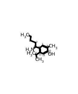 CCCCC(N)c1cc(C)c(O)cc1C(C)C